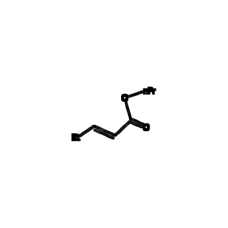 CCC=CC(=O)OCCC